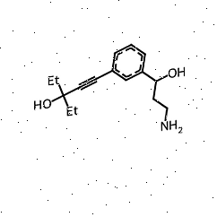 CCC(O)(C#Cc1cccc(C(O)CCN)c1)CC